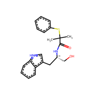 CC(C)(Sc1ccccc1)C(=O)N[C@H](CO)Cc1c[nH]c2ccccc12